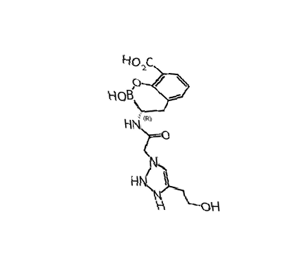 O=C(CN1C=C(CCO)NN1)N[C@H]1Cc2cccc(C(=O)O)c2OB1O